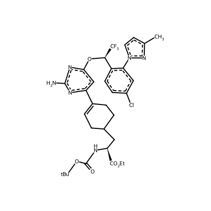 CCOC(=O)[C@H](CC1CC=C(c2cc(O[C@H](c3ccc(Cl)cc3-n3ccc(C)n3)C(F)(F)F)nc(N)n2)CC1)NC(=O)OC(C)(C)C